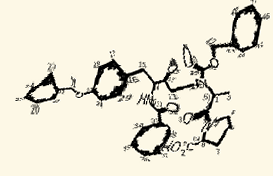 C[C@@H](C(=O)N1CCC[C@H]1C(=O)O)N(CC(=O)C(Cc1ccc(OCc2ccccc2)cc1)NC(=O)c1ccccc1)C(=O)OCc1ccccc1